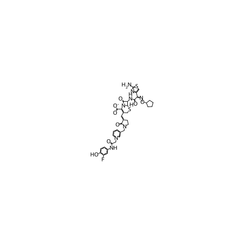 Nc1nc(/C(=N/OC2CCCC2)C(=O)N[C@@H]2C(=O)N3C(C(=O)[O-])=C(/C=C4\CCN(Cc5ccc[n+](CC(=O)Nc6ccc(O)c(F)c6)c5)C4=O)CS[C@H]23)cs1